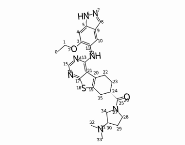 CCOc1cc2[nH]ncc2cc1Nc1ncnc2sc3c(c12)CC[C@H](C(=O)N1CCC(N(C)C)C1)C3